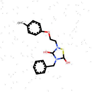 O=Cc1ccc(OCCN2SC(O)N(Cc3ccccc3)C2O)cc1